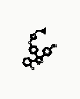 Oc1ccc(-c2onc(C3=CCCC=C3Cl)c2-c2ccc(OC3CN(CC4CC4)C3)cc2)cc1